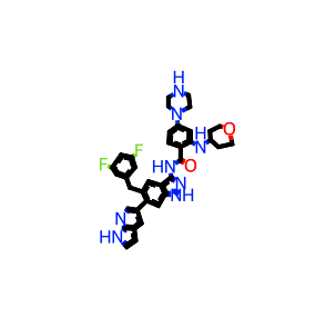 O=C(Nc1n[nH]c2cc(-c3cnc4[nH]ccc4c3)c(Cc3cc(F)cc(F)c3)cc12)c1ccc(N2CCNCC2)cc1NC1CCOCC1